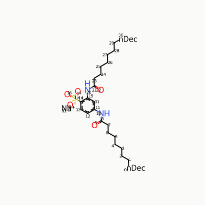 CCCCCCCCCCCCCCCCCC(=O)Nc1ccc(S(=O)(=O)[O-])c(NC(=O)CCCCCCCCCCCCCCCCC)c1.[Na+]